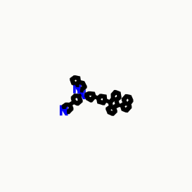 c1ccc2nc(N(c3ccc(-c4ccncc4)cc3)c3ccc(-c4ccc(-c5c6ccccc6c(-c6cccc7ccccc67)c6ccccc56)cc4)cc3)ccc2c1